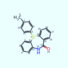 Cc1ccc([S+]2c3ccccc3NC(=O)c3ccccc32)cc1